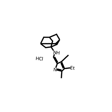 CCC1=C(C)C(=CNC23CC4CC(CC(C4)C2)C3)N=C1C.Cl